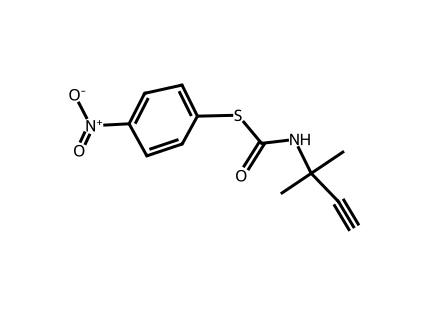 C#CC(C)(C)NC(=O)Sc1ccc([N+](=O)[O-])cc1